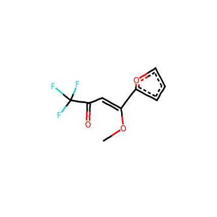 COC(=CC(=O)C(F)(F)F)c1ccco1